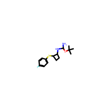 CC(C)(C)OC(N)NC1CCC1Sc1ccc(F)cc1